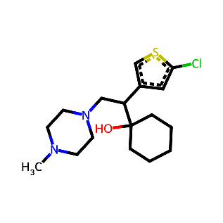 CN1CCN(CC(c2csc(Cl)c2)C2(O)CCCCC2)CC1